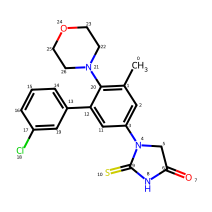 Cc1cc(N2CC(=O)NC2=S)cc(-c2cccc(Cl)c2)c1N1CCOCC1